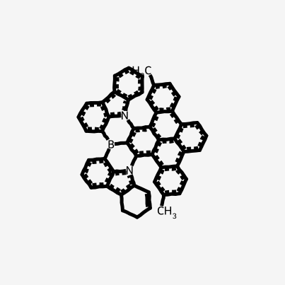 Cc1ccc2c(c1)c1c3c4c(c5c6cc(C)ccc6c6cccc2c6c15)-n1c2ccccc2c2cccc(c21)B4c1cccc2c4c(n-3c12)C=CCC4